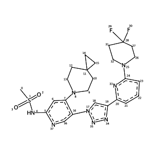 CS(=O)(=O)Nc1cc(N2CCC3(CC2)CC3)c(-n2cc(-c3cccc(N4CCC(F)(F)CC4)n3)nn2)cn1